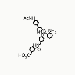 CC(=O)Nc1ccc(-c2cnc3c(c2)nc(-c2cccnc2N)n3-c2ccc(CNC(=O)c3cccc(CC(=O)O)c3)cc2)cc1